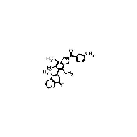 CCc1c(C)c2c(c(C)c1-c1cc(F)c3c(c1C)CCCO3)CN(C(=O)c1cccc(C)c1)C2